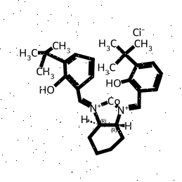 CC(C)(C)c1cccc(C=[N+]2[Co][N+](=Cc3cccc(C(C)(C)C)c3O)[C@@H]3CCCC[C@H]32)c1O.[Cl-]